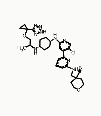 CC(COC1(c2nn[nH]n2)CC1)N[C@H]1CC[C@H](Nc2cc(-c3cccc(NCC4(C#N)CCOCC4)n3)c(Cl)cn2)CC1